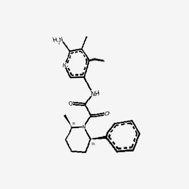 Cc1c(NC(=O)C(=O)N2[C@H](C)CCC[C@@H]2c2ccccc2)cnc(N)c1C